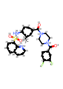 O=C(c1ccc(F)c(F)c1)N1CCN(C(=O)c2ccc(NS(=O)(=O)c3cccc4cccnc34)c(C(F)(F)F)c2)CC1